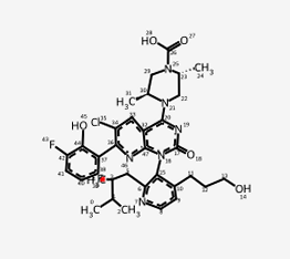 CC(C)C(C)Cc1nccc(CCCO)c1-n1c(=O)nc(N2C[C@@H](C)N(C(=O)O)C[C@@H]2C)c2cc(Cl)c(-c3c(F)ccc(F)c3O)nc21